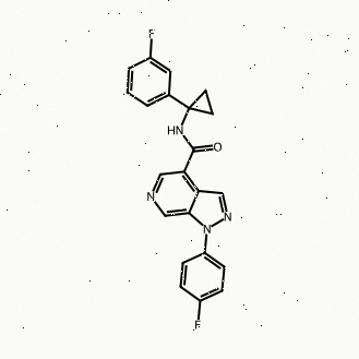 O=C(NC1(c2cccc(F)c2)CC1)c1cncc2c1cnn2-c1ccc(F)cc1